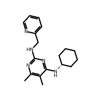 Cc1nc(NCc2ccccn2)nc(N[C@H]2[CH]CCCC2)c1C